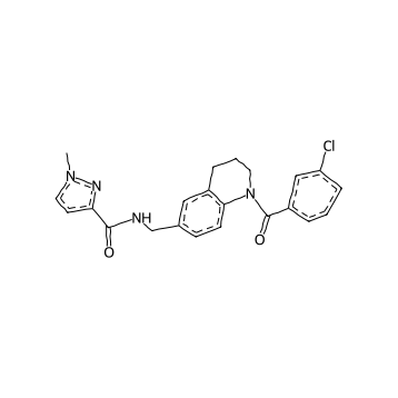 Cn1ccc(C(=O)NCc2ccc3c(c2)CCCN3C(=O)c2cccc(Cl)c2)n1